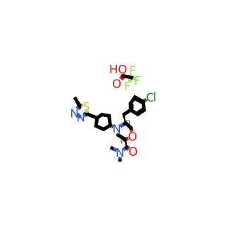 Cc1nnc(C2CCC(N3C[C@H](C(=O)N(C)C)OC[C@@H]3Cc3ccc(Cl)cc3)CC2)s1.O=C(O)C(F)(F)F